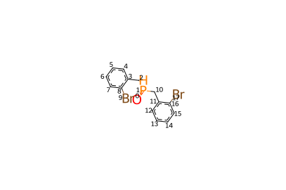 O=[PH](Cc1ccccc1Br)Cc1ccccc1Br